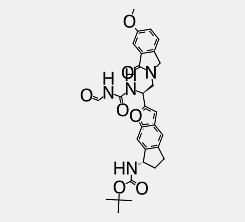 COc1ccc2c(c1)C(=O)N(C[C@H](NC(=O)NC=O)c1cc3cc4c(cc3o1)[C@@H](NC(=O)OC(C)(C)C)CC4)C2